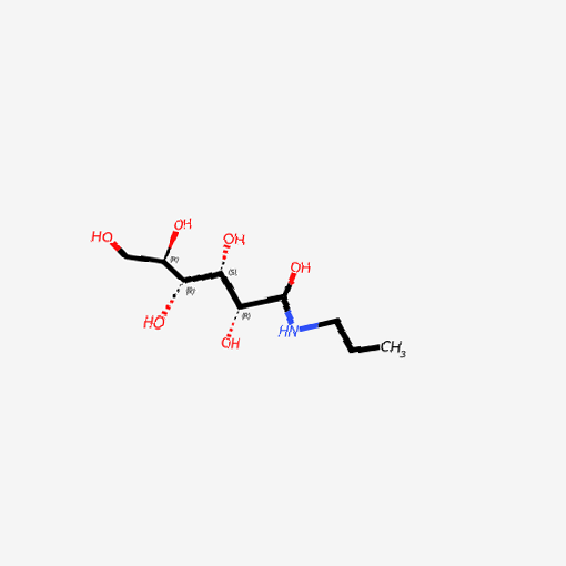 CCCNC(O)[C@H](O)[C@@H](O)[C@H](O)[C@H](O)CO